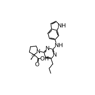 CCCc1cc(N2CCC[C@@]2(C)C(=O)O)nc(Nc2ccc3cc[nH]c3c2)n1